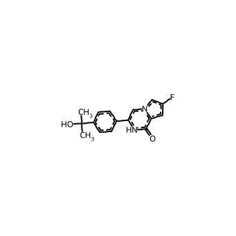 CC(C)(O)c1ccc(-c2cn3cc(F)cc3c(=O)[nH]2)cc1